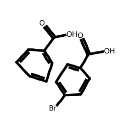 O=C(O)c1ccc(Br)cc1.O=C(O)c1ccccc1